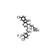 FC(F)(F)c1nc(NCCN2CCc3c([nH]c4ccc(Cl)cc34)C2CNCC2CNC2)ccc1Cl